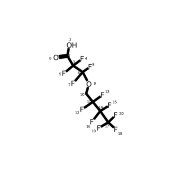 O=C(O)C(F)(F)C(F)(F)OCC(F)(F)C(F)(F)C(F)(F)F